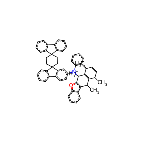 CC1C=CC2(C)C3=C1C(C)c1c(oc4ccccc14)C3(C)N(c1ccc3c(c1)C1(CCC4(CC1)c1ccccc1-c1ccccc14)c1ccccc1-3)c1ccccc12